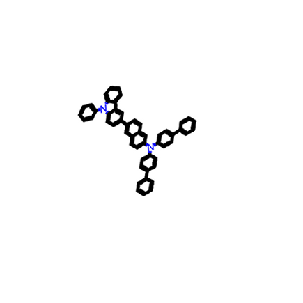 c1ccc(-c2ccc(N(c3ccc(-c4ccccc4)cc3)c3ccc4cc(-c5ccc6c(c5)c5ccccc5n6-c5ccccc5)ccc4c3)cc2)cc1